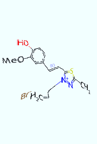 C=CC[n+]1nc(C)sc1/C=C/c1ccc(O)c(OC)c1.[Br-]